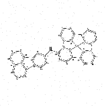 c1ccc2c(c1)-c1ccccc1C21c2ccccc2-c2ccc(Nc3ccc4c(c3)-c3cccc5cccc-4c35)cc21